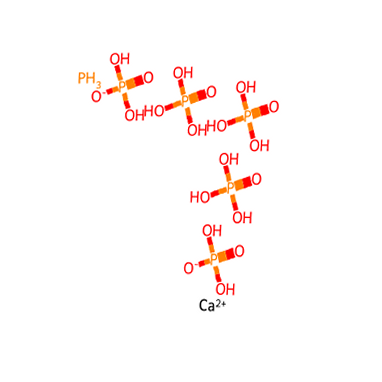 O=P(O)(O)O.O=P(O)(O)O.O=P(O)(O)O.O=P([O-])(O)O.O=P([O-])(O)O.P.[Ca+2]